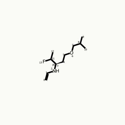 C=CN[C@H](CCOCC(C)C)C(C)F